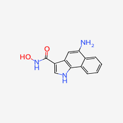 Nc1cc2c(C(=O)NO)c[nH]c2c2ccccc12